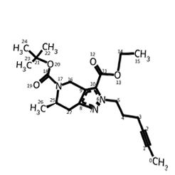 CC#CCCCn1nc2c(c1C(=O)OCC)CN(C(=O)OC(C)(C)C)[C@H](C)C2